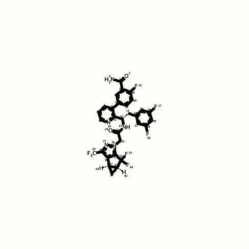 NC(=O)c1cc(-c2cccnc2[C@H](Cc2cc(F)cc(F)c2)NC(=O)Cn2nc(C(F)(F)F)c3c2C(F)(F)[C@H]2C[C@@H]32)ccc1F